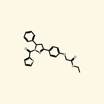 CCOC(=O)COc1ccc(C2=NN(C(=O)c3cccs3)C(c3ccccc3)C2)cc1